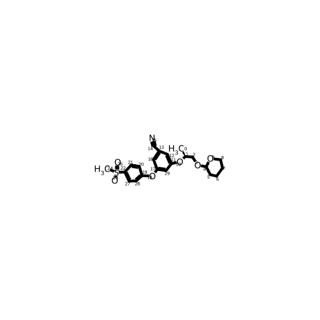 C[C@@H](COC1CCCCO1)Oc1cc(C#N)cc(Oc2ccc(S(C)(=O)=O)cc2)c1